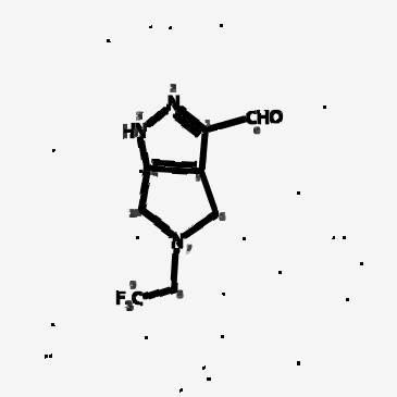 O=Cc1n[nH]c2c1CN(CC(F)(F)F)C2